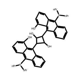 CCCN(CCC)c1c2ccccc2c(C2C(O)C(c3c4ccccc4c(N(CCC)CCC)c4cccc(O)c34)C2O)c2c(O)cccc12